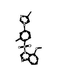 COc1cccc2ncn(S(=O)(=O)c3ccc(-n4cnc(C)c4)cc3C)c12